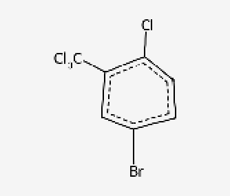 Clc1ccc(Br)cc1C(Cl)(Cl)Cl